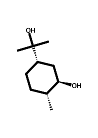 C[C@@H]1CC[C@H](C(C)(C)O)C[C@H]1O